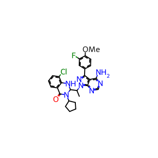 COc1ccc(-c2nn(C(C)C3Nc4c(Cl)cccc4C(=O)N3C3CCCC3)c3ncnc(N)c23)cc1F